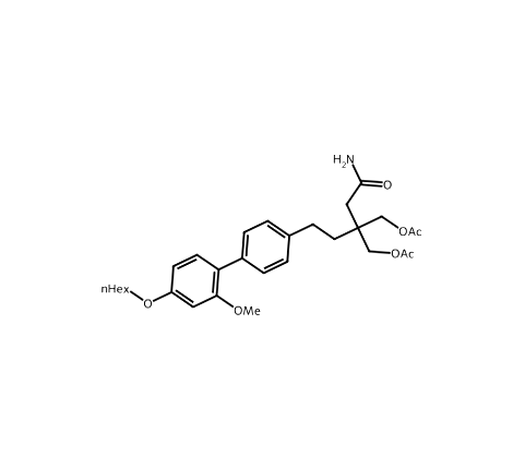 CCCCCCOc1ccc(-c2ccc(CCC(COC(C)=O)(COC(C)=O)CC(N)=O)cc2)c(OC)c1